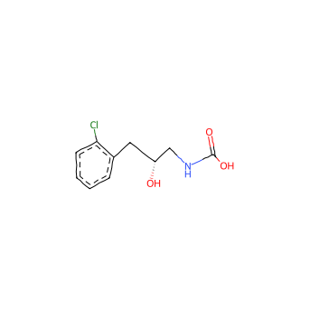 O=C(O)NC[C@H](O)Cc1ccccc1Cl